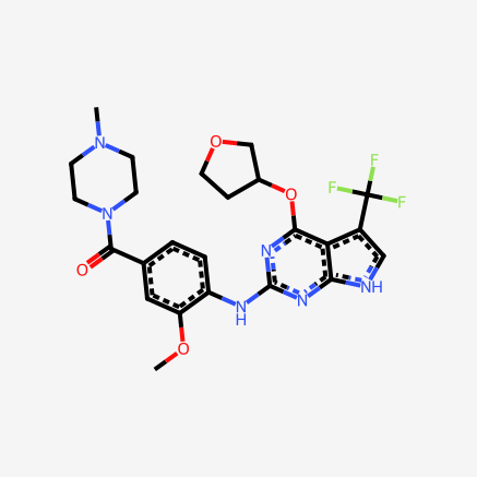 COc1cc(C(=O)N2CCN(C)CC2)ccc1Nc1nc(OC2CCOC2)c2c(C(F)(F)F)c[nH]c2n1